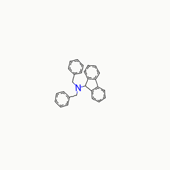 c1ccc(CN(Cc2ccccc2)C2c3ccccc3-c3ccccc32)cc1